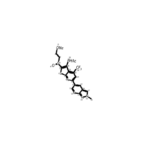 COCC[S+]([O-])c1sc2nc(-c3cnc4nn(C)cc4c3)cc(C(F)(F)F)c2c1NC(C)=O